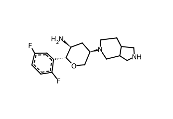 N[C@H]1C[C@@H](N2CCC3CNCC3C2)CO[C@@H]1c1cc(F)ccc1F